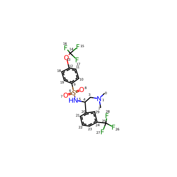 CN(C)CC(NS(=O)(=O)c1ccc(OC(F)(F)F)cc1)c1cccc(C(F)(F)F)c1